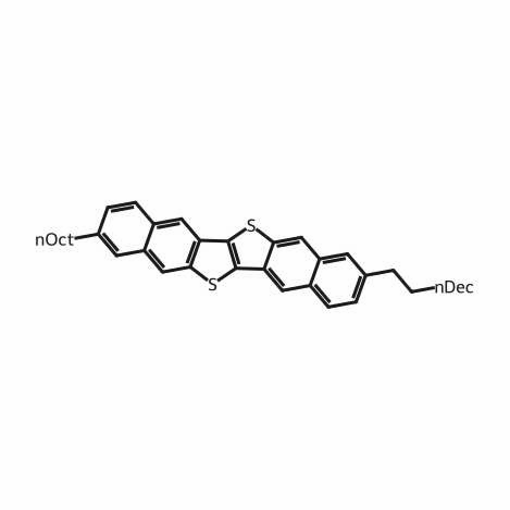 CCCCCCCCCCCCc1ccc2cc3c(cc2c1)sc1c2cc4ccc(CCCCCCCC)cc4cc2sc31